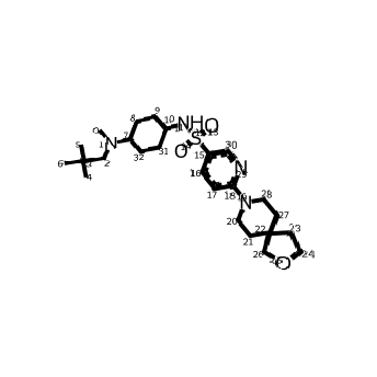 CN(CC(C)(C)C)C1CCC(NS(=O)(=O)c2ccc(N3CCC4(CCOC4)CC3)nc2)CC1